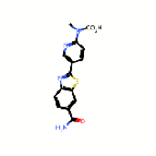 CN(C(=O)O)c1ccc(-c2nc3ccc(C(N)=O)cc3s2)cn1